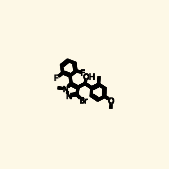 COc1ccc(C(O)c2c(Br)nn(C)c2-c2c(F)cccc2F)c(C)c1